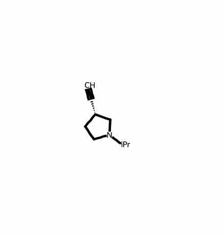 C#C[C@H]1CCN(C(C)C)C1